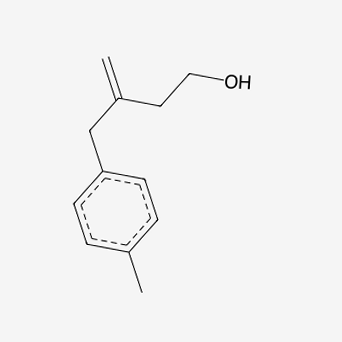 C=C(CCO)Cc1ccc(C)cc1